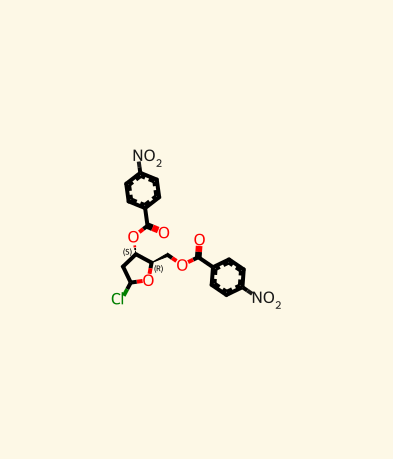 O=C(OC[C@H]1OC(Cl)C[C@@H]1OC(=O)c1ccc([N+](=O)[O-])cc1)c1ccc([N+](=O)[O-])cc1